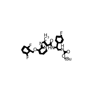 Cc1nc2c(OCc3c(F)cccc3F)cccn2c1C(=O)NC(CNC(=O)OC(C)(C)C)c1ccc(F)cc1